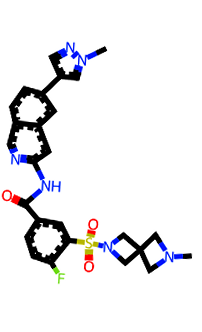 CN1CC2(C1)CN(S(=O)(=O)c1cc(C(=O)Nc3cc4cc(-c5cnn(C)c5)ccc4cn3)ccc1F)C2